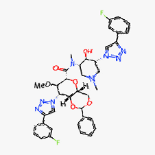 CO[C@@H]1[C@@H](n2cc(-c3cccc(F)c3)nn2)[C@H]2OC(c3ccccc3)OC[C@H]2O[C@H]1C(=O)N(C)[C@H]1CN(C)C[C@@H](n2cc(-c3cccc(F)c3)nn2)[C@@H]1O